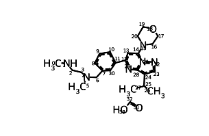 CNCCN(C)Cc1cccc(-c2cc(N3CCOCC3)n3ncc(C(C)C)c3n2)c1.O=CO